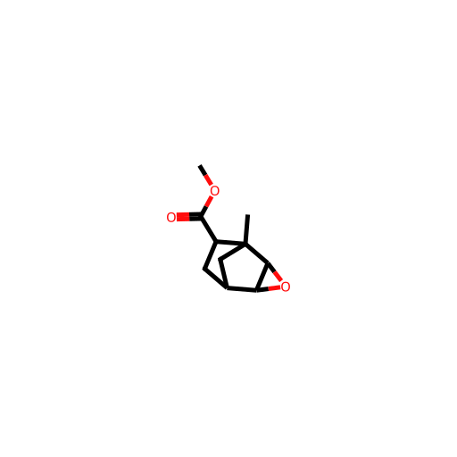 COC(=O)C1CC2CC1(C)C1OC21